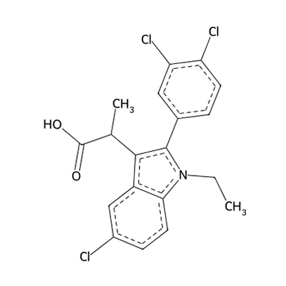 CCn1c(-c2ccc(Cl)c(Cl)c2)c(C(C)C(=O)O)c2cc(Cl)ccc21